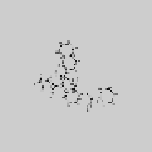 CC(C)(C)OC(=O)N(c1cccn(CC(=O)N2CCCCC2)c1=O)S(=O)(=O)c1ccc2ccccc2c1